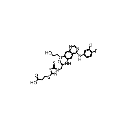 O=C(O)CCSc1nn(CC(=O)Nc2cc3c(Nc4ccc(F)c(Cl)c4)ncnc3cc2OCCO)c(=S)s1